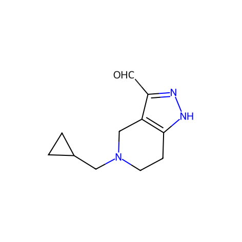 O=Cc1n[nH]c2c1CN(CC1CC1)CC2